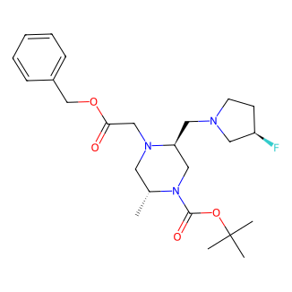 C[C@@H]1CN(CC(=O)OCc2ccccc2)[C@@H](CN2CC[C@@H](F)C2)CN1C(=O)OC(C)(C)C